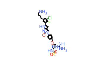 C[C@H](N)CCCc1cc(Cl)c(F)c(-c2cc3cn(-c4ccc(CO[C@H](CCNS(C)(=O)=O)CNC(=N)N)cc4)c(=O)nc3[nH]2)c1